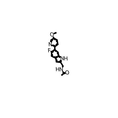 COc1ccc(-c2cc3[nH]c(CNC(C)=O)cc3cc2F)nc1